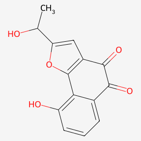 CC(O)c1cc2c(o1)-c1c(O)cccc1C(=O)C2=O